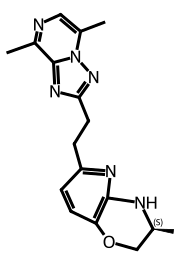 Cc1ncc(C)n2nc(CCc3ccc4c(n3)N[C@@H](C)CO4)nc12